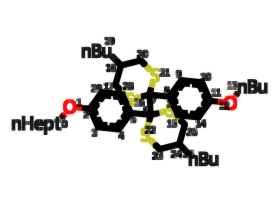 CCCCCCCOc1ccc(C2(C3(c4ccc(OCCCC)cc4)SCC(CCCC)CS3)SCC(CCCC)CS2)cc1